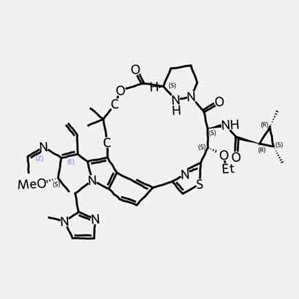 C=C/C(=C(\N=C/C)[C@H](C)OC)c1c2c3cc(ccc3n1Cc1nccn1C)-c1csc(n1)[C@@H](OCC)[C@H](NC(=O)[C@H]1[C@H](C)[C@@H]1C)C(=O)N1CCC[C@H](N1)C(=O)OCC(C)(C)C2